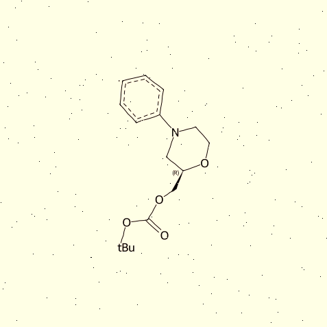 CC(C)(C)OC(=O)OC[C@H]1CN(c2cc[c]cc2)CCO1